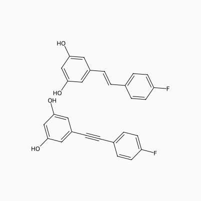 Oc1cc(O)cc(C#Cc2ccc(F)cc2)c1.Oc1cc(O)cc(C=Cc2ccc(F)cc2)c1